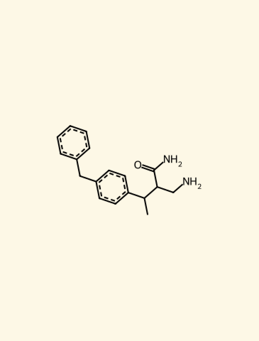 CC(c1ccc(Cc2ccccc2)cc1)C(CN)C(N)=O